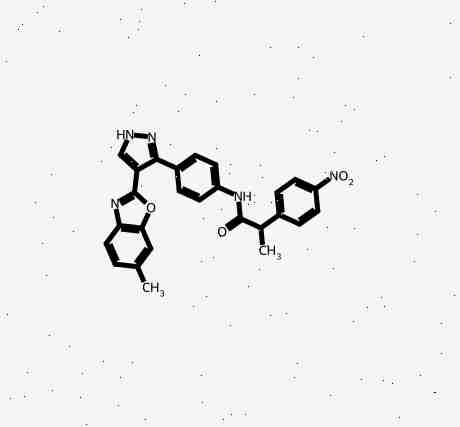 Cc1ccc2nc(-c3c[nH]nc3-c3ccc(NC(=O)C(C)c4ccc([N+](=O)[O-])cc4)cc3)oc2c1